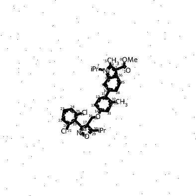 COC(=O)c1c(C)n(C(C)C)c2cc(-c3ccc(OCc4c(-c5c(Cl)cccc5Cl)noc4C(C)C)cc3C)ccc12